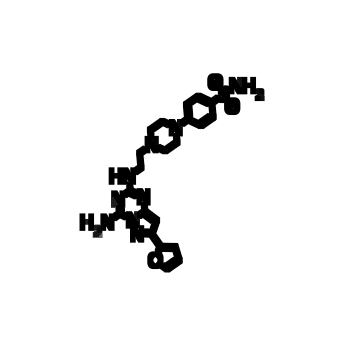 Nc1nc(NCCN2CCN(c3ccc(S(N)(=O)=O)cc3)CC2)nc2cc(-c3ccco3)nn12